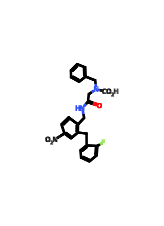 O=C(CN(Cc1ccccc1)C(=O)O)NCc1ccc([N+](=O)[O-])cc1Cc1ccccc1F